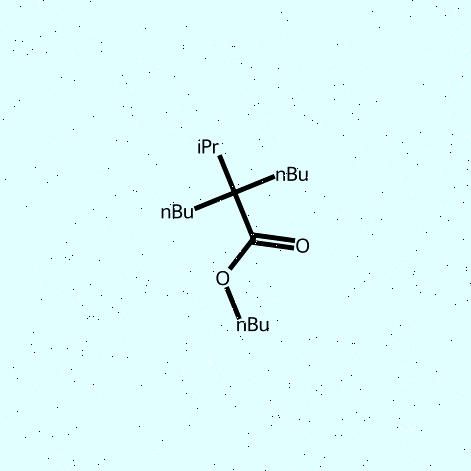 CCCCOC(=O)C(CCCC)(CCCC)C(C)C